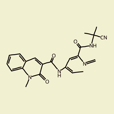 C=N/C(=C\C(=C/C)NC(=O)c1cc2ccccc2n(C)c1=O)C(=O)NC(C)(C)C#N